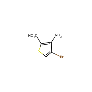 O=C(O)c1scc(Br)c1[N+](=O)[O-]